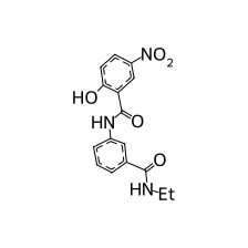 CCNC(=O)c1cccc(NC(=O)c2cc([N+](=O)[O-])ccc2O)c1